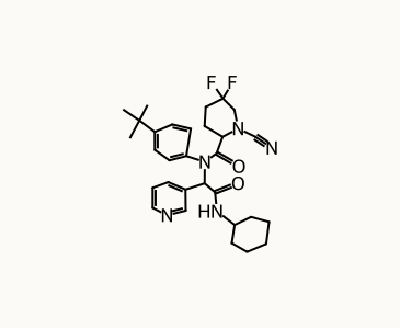 CC(C)(C)c1ccc(N(C(=O)C2CCC(F)(F)CN2C#N)C(C(=O)NC2CCCCC2)c2cccnc2)cc1